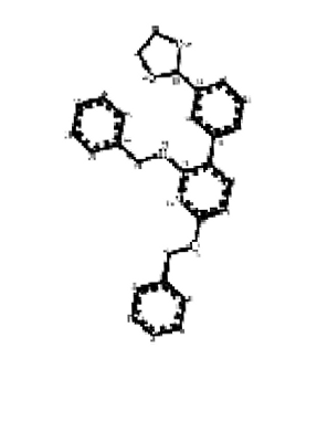 c1ccc(COc2ccc(-c3cccc(C4OCCO4)c3)c(OCc3ccccc3)n2)cc1